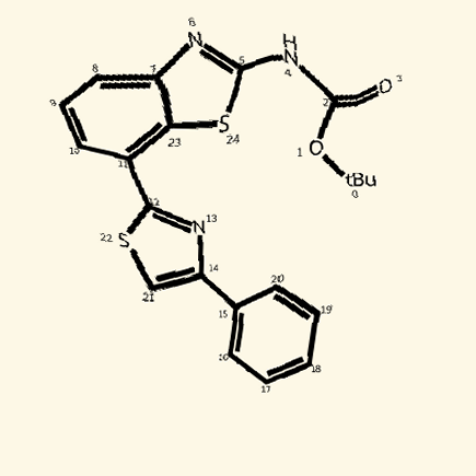 CC(C)(C)OC(=O)Nc1nc2cccc(-c3nc(-c4ccccc4)cs3)c2s1